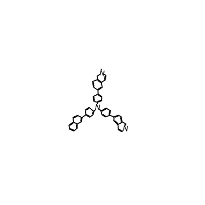 CN1C=Cc2cc(-c3ccc(N(c4ccc(-c5ccc6ccccc6c5)cc4)c4ccc(-c5ccc6cnccc6c5)cc4)cc3)ccc2C1